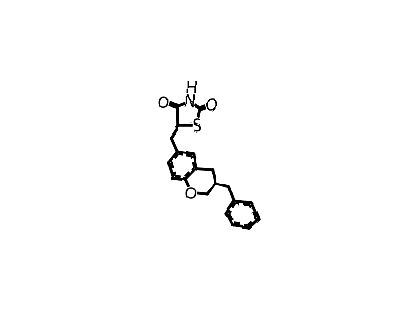 O=C1NC(=O)C(Cc2ccc3c(c2)CC(Cc2ccccc2)CO3)S1